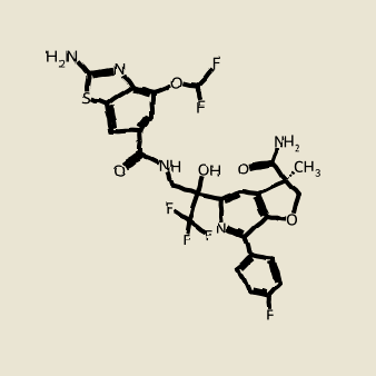 C[C@]1(C(N)=O)COc2c1cc(C(O)(CNC(=O)c1cc(OC(F)F)c3nc(N)sc3c1)C(F)(F)F)nc2-c1ccc(F)cc1